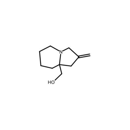 C=C1CN2CCCCC2(CO)C1